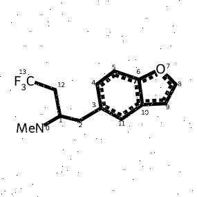 CNC(Cc1ccc2occc2c1)CC(F)(F)F